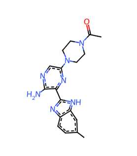 CC(=O)N1CCN(c2cnc(N)c(-c3nc4ccc(C)cc4[nH]3)n2)CC1